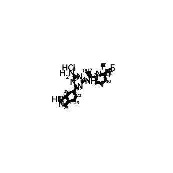 Cl.Nc1nc(NC2(c3cccc(C(F)(F)F)n3)CC2)nc(-c2ccc3cn[nH]c3c2)n1